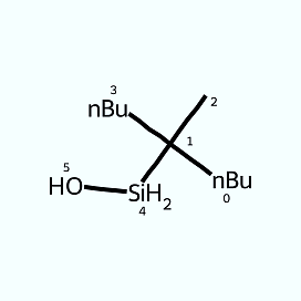 CCCCC(C)(CCCC)[SiH2]O